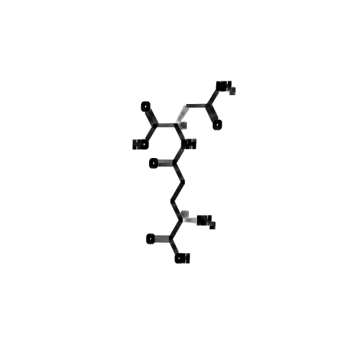 NC(=O)C[C@H](NC(=O)CC[C@H](N)C(=O)O)C(=O)O